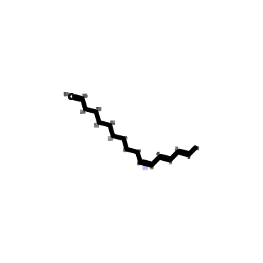 CC=CC=C/C=C\CCCCCCCCC=O